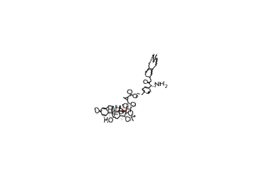 CC1(C)O[C@@H]2C[C@H]3[C@@H]4CCC5=CC(=O)C=C[C@]5(C)[C@@]4(F)[C@@H](O)C[C@]3(C)[C@]2(C(=O)COC(=O)C2CC2C(=O)OCCc2ccc(C(CN)C(=O)Cc3ccc4cnccc4c3)cc2)O1